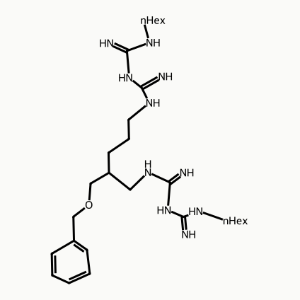 CCCCCCNC(=N)NC(=N)NCCCC(CNC(=N)NC(=N)NCCCCCC)COCc1ccccc1